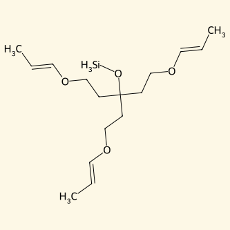 CC=COCCC(CCOC=CC)(CCOC=CC)O[SiH3]